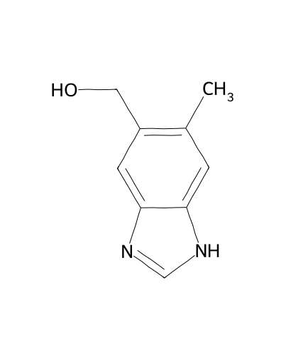 Cc1cc2[nH]cnc2cc1CO